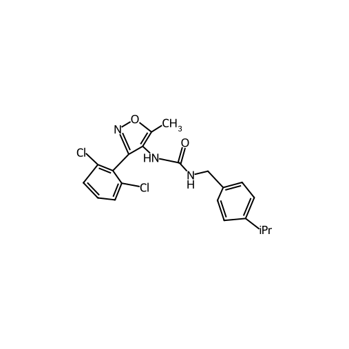 Cc1onc(-c2c(Cl)cccc2Cl)c1NC(=O)NCc1ccc(C(C)C)cc1